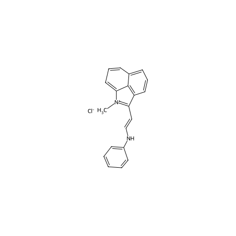 C[N+]1=C(C=CNc2ccccc2)c2cccc3cccc1c23.[Cl-]